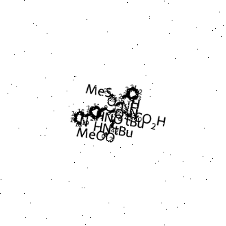 COC(=O)N[C@H](C(=O)N[C@@H](Cc1ccc(-c2ccccn2)cc1)C[C@H](OCSC)[C@H](Cc1ccccc1)NC(=O)[C@@H](NC(=O)O)C(C)(C)C)C(C)(C)C